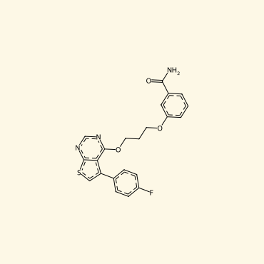 NC(=O)c1cccc(OCCCOc2ncnc3scc(-c4ccc(F)cc4)c23)c1